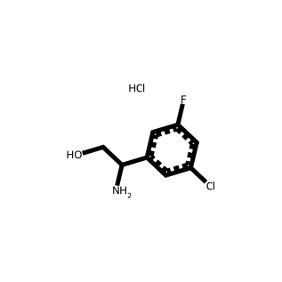 Cl.NC(CO)c1cc(F)cc(Cl)c1